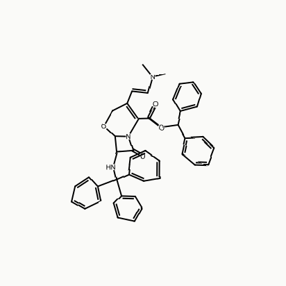 CN(C)C=CC1=C(C(=O)OC(c2ccccc2)c2ccccc2)N2C(=O)C(NC(c3ccccc3)(c3ccccc3)c3ccccc3)C2OC1